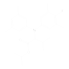 Cc1cc(C)cc(N(c2cc(C)c(F)c(C)c2)C(C(=O)OC(C)C)C(C)C)c1